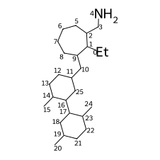 CCC1C(CN)CCCCC1CC1CCC(C)C(C2CC(C)CCC2C)C1